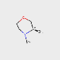 CCCN1CCOC[C@H]1C